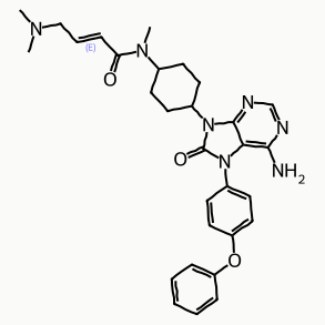 CN(C)C/C=C/C(=O)N(C)C1CCC(n2c(=O)n(-c3ccc(Oc4ccccc4)cc3)c3c(N)ncnc32)CC1